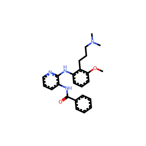 COc1cccc(Nc2ncccc2NC(=O)c2ccccc2)c1CCCN(C)C